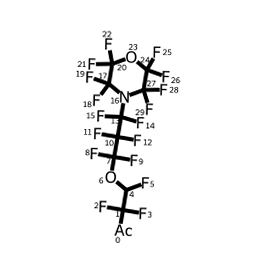 CC(=O)C(F)(F)C(F)OC(F)(F)C(F)(F)C(F)(F)N1C(F)(F)C(F)(F)OC(F)(F)C1(F)F